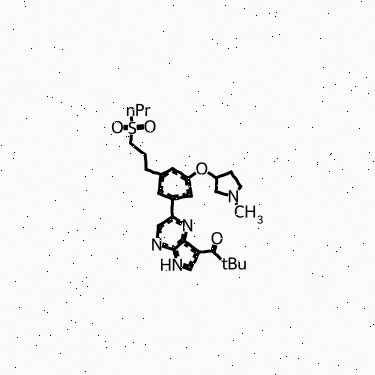 CCCS(=O)(=O)CCCc1cc(OC2CCN(C)C2)cc(-c2cnc3[nH]cc(C(=O)C(C)(C)C)c3n2)c1